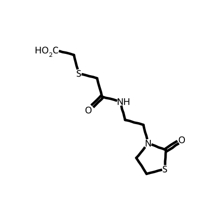 O=C(O)CSCC(=O)NCCN1CCSC1=O